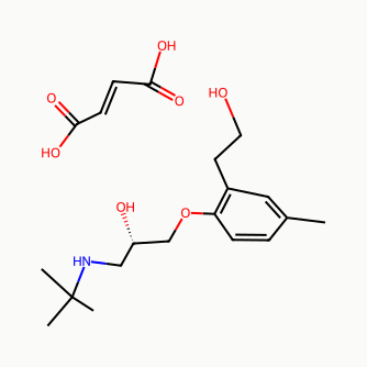 Cc1ccc(OC[C@@H](O)CNC(C)(C)C)c(CCO)c1.O=C(O)C=CC(=O)O